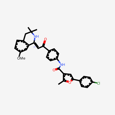 COc1ccc2c(c1)/C(=C/C(=O)c1ccc(NC(=O)c3cc(-c4ccc(Cl)cc4)oc3C)cc1)NC(C)(C)C2